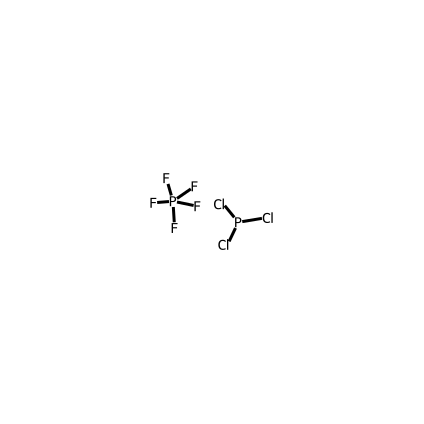 ClP(Cl)Cl.FP(F)(F)(F)F